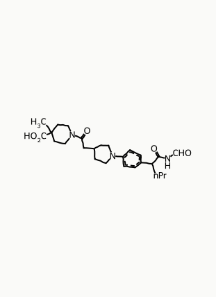 CCCC(C(=O)NC=O)c1ccc(N2CCC(CC(=O)N3CCC(C)(C(=O)O)CC3)CC2)cc1